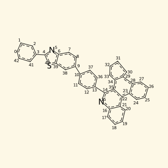 c1ccc(-c2nc3ccc(-c4ccc(-c5nc6ccccc6c6c7ccccc7c7ccccc7c56)cc4)cc3s2)cc1